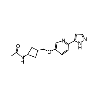 CC(=O)N[C@H]1C[C@@H](COc2ccc(-c3ccn[nH]3)nc2)C1